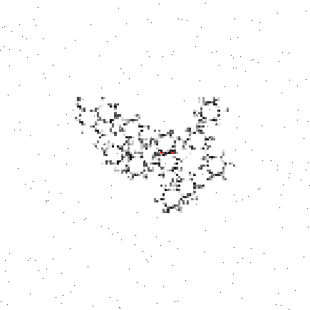 C=C/C=C\C=C(/C)C1(c2ccccc2)c2ccccc2-c2c(N(c3ccc(-c4cc(-c5ccccc5)cc(-c5ccccc5)c4)cc3)c3ccccc3-c3cccc(-c4cccc5ccccc45)c3)cccc21